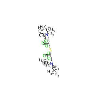 CC(C)=C[SiH2]N(CCCC(CCSCCC(CCCN([SiH2]C=C(C)C)[SiH2]C=C(C)C)[Si](Cl)(Cl)Cl)[Si](Cl)(Cl)Cl)[SiH2]C=C(C)C